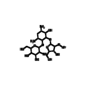 CCCOC1C(OC2C(O)C(N)CC(N)C2OC2OC(CO)C(O)C(O)C2N)OC(CO)C1O